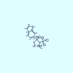 CNC(C(Cl)(Cl)Cl)C(O)(CF)c1ccc2ccsc2c1